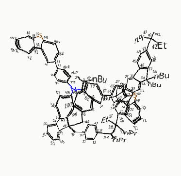 CCCCC(C)c1ccc(CC2(Cc3ccc(C(CCC)C(CC)(CCC)c4ccc5c(c4)C(CCCC)(CCCC)c4cc6c(cc4-5)C(CCCC)(CCCC)c4cc(C(C)(CC)CCC)ccc4-6)cc3)c3ccccc3-c3ccc(N(c4ccc(-c5ccc6sc7ccccc7c6c5)cc4)c4ccc(-c5ccc6sc7ccccc7c6c5)cc4)cc32)cc1